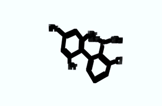 CC(C)c1cc(C(C)C)c(-c2cccc(Cl)c2P(C(C)(C)C)C(C)(C)C)c(C(C)C)c1